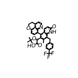 Cc1c([C@H](OC(C)(C)C)C(=O)O)c(-c2ccc3c4c(ccnc24)CCO3)c2ccc(=O)[nH]c2c1Cc1ccc(C(F)(F)F)cc1